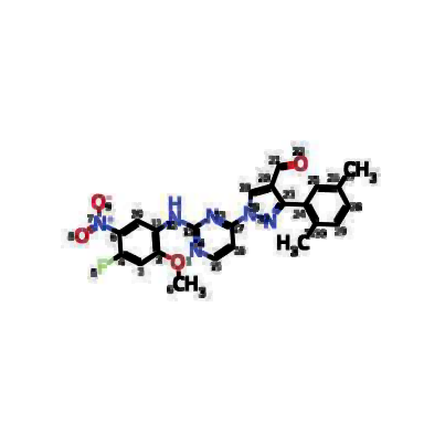 COc1cc(F)c([N+](=O)[O-])cc1Nc1nccc(-n2cc(C=O)c(-c3cc(C)ccc3C)n2)n1